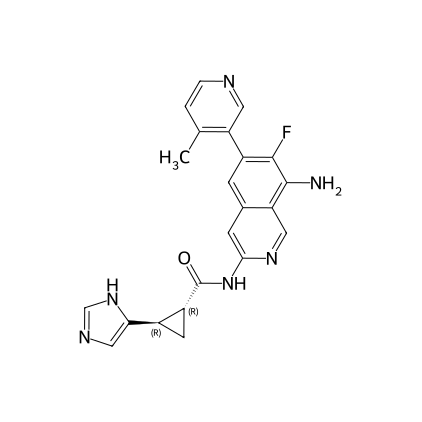 Cc1ccncc1-c1cc2cc(NC(=O)[C@@H]3C[C@H]3c3cnc[nH]3)ncc2c(N)c1F